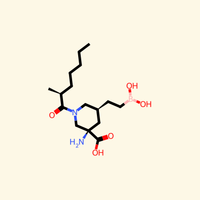 CCCCC[C@H](C)C(=O)N1C[C@@H](CCB(O)O)C[C@](N)(C(=O)O)C1